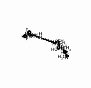 Cc1ncsc1-c1ccc([C@H](C)NC(=O)[C@@H]2C[C@@H](O)CN2C(=O)[C@@H](NC(=O)CCCCCCCCCCCNCCCCONC(=O)c2ccc(F)c(F)c2Nc2ccc(I)cc2F)C(C)(C)C)cc1